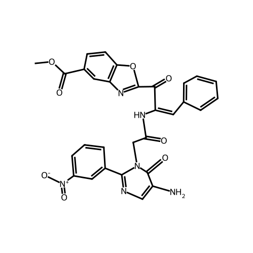 COC(=O)c1ccc2oc(C(=O)C(=Cc3ccccc3)NC(=O)Cn3c(-c4cccc([N+](=O)[O-])c4)ncc(N)c3=O)nc2c1